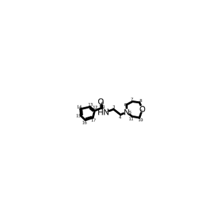 O=C(NCCN1CCCOCC1)c1ccccc1